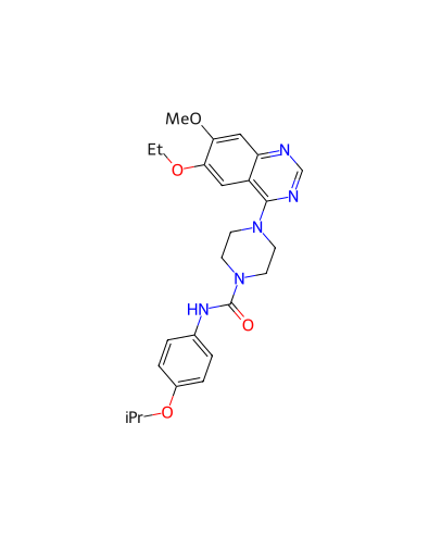 CCOc1cc2c(N3CCN(C(=O)Nc4ccc(OC(C)C)cc4)CC3)ncnc2cc1OC